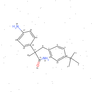 CC(C)(C)c1ccc(CC(C)(C(N)=O)c2ccc(N)cc2)cc1